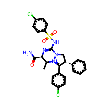 CC1[C@@H](C(N)=O)N=C(NS(=O)(=O)c2ccc(Cl)cc2)N2C[C@H](c3ccccc3)C(c3ccc(Cl)cc3)=[N+]12